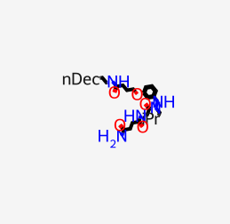 CCCCCCCCCCCCNC(=O)CCCOc1cccc(NN(CC(C)C)C(=O)CNC(=O)CCC(N)=O)c1